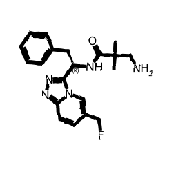 CC(C)(CN)C(=O)N[C@H](Cc1ccccc1)c1nnc2ccc(CF)cn12